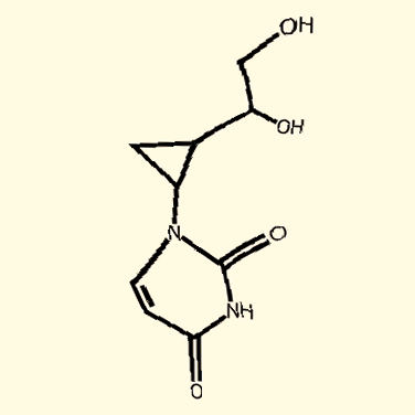 O=c1ccn(C2CC2C(O)CO)c(=O)[nH]1